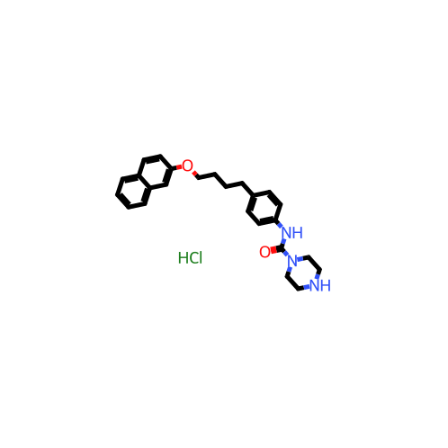 Cl.O=C(Nc1ccc(CCCCOc2ccc3ccccc3c2)cc1)N1CCNCC1